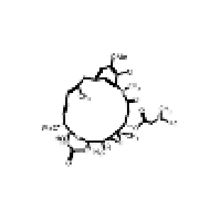 COc1cc2cc(c1Cl)N(C)C(=O)C[C@H](OC(=O)CN(C)C(C)=O)[C@]1(C)O[C@H]1C(C)[C@@H]1C[C@@](O)(NC(=O)O1)[C@H](OC)/C=C/C=C(\C)C2